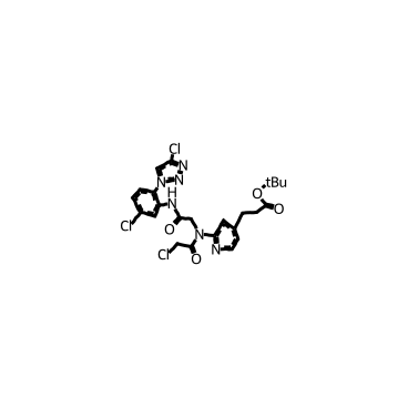 CC(C)(C)OC(=O)CCc1ccnc(N(CC(=O)Nc2cc(Cl)ccc2-n2cc(Cl)nn2)C(=O)CCl)c1